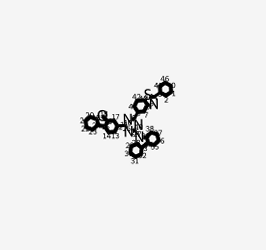 c1ccc(-c2nc3cc(-c4nc(-c5ccc6c(c5)oc5ccccc56)nc(-n5c6ccccc6c6ccccc65)n4)ccc3s2)cc1